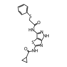 O=C(CSc1ccccc1)Nc1n[nH]c2nc(NC(=O)C3CC3)sc12